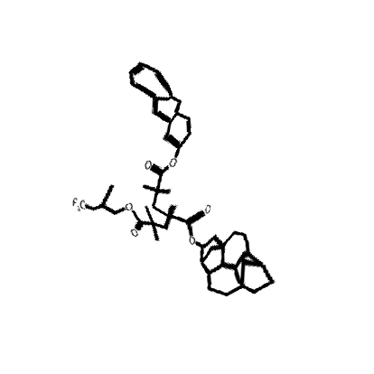 CC(COC(=O)C(C)(C)CC(C)(CC(C)(C)C(=O)Oc1ccc2cc3ccccc3cc2c1)C(=O)OC1CC23CCC4C5CCC6(CCC(C1C2)C3C46)C5)C(F)(F)F